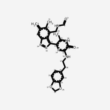 C=c1cc2c(c(CNC=O)c1C)=C(c1nc(NCCc3ccc4c(c3)OCO4)c(=O)[nH]c1C)N=N2